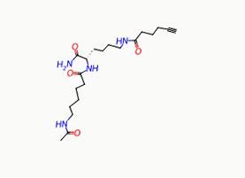 C#CCCCC(=O)NCCCC[C@H](NC(=O)CCCCCNC(C)=O)C(N)=O